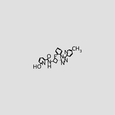 Cc1ccc(-c2nnc([C@H]3C[C@H](NC(=O)c4cccc(O)n4)C3)n2-c2ccccc2F)nc1